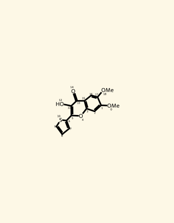 COc1cc2oc(-c3cccs3)c(O)c(=O)c2cc1OC